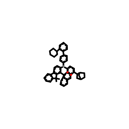 CC1(C)c2ccccc2-c2ccc(N(c3ccc(-c4ccccc4C4CCCCC4)cc3)c3ccc(C4CC5CCC4C5)cc3)c(-c3cccc4ccccc34)c21